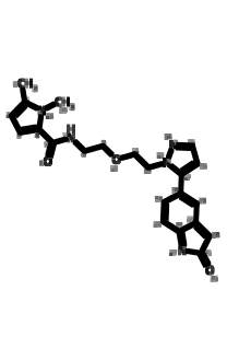 Cc1ccc(C(=O)NCCOCCn2nccc2-c2ccc3c(c2)=CC(=O)N=3)n1C